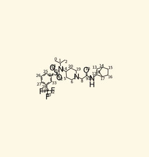 CC(C)N(C1CCN(CC(=O)NC2CC3CCC2C3)CC1)S(=O)(=O)c1cccc(C(F)(F)F)c1